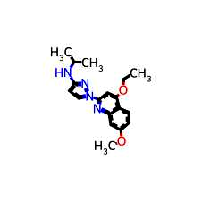 CCOc1cc(-n2ccc(NC(C)C)n2)nc2cc(OC)ccc12